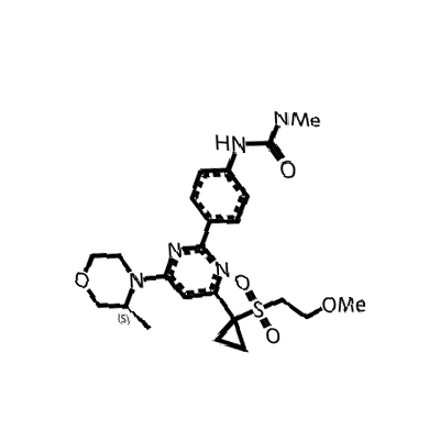 CNC(=O)Nc1ccc(-c2nc(N3CCOC[C@@H]3C)cc(C3(S(=O)(=O)CCOC)CC3)n2)cc1